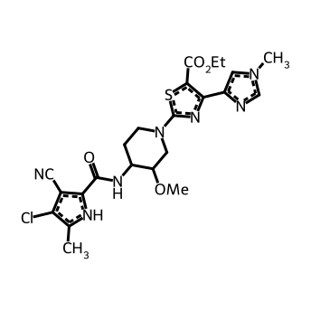 CCOC(=O)c1sc(N2CCC(NC(=O)c3[nH]c(C)c(Cl)c3C#N)C(OC)C2)nc1-c1cn(C)cn1